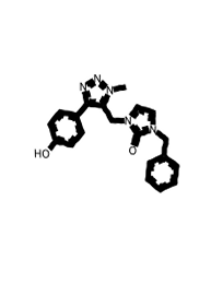 Cn1nnc(-c2ccc(O)cc2)c1Cn1ccn(Cc2ccccc2)c1=O